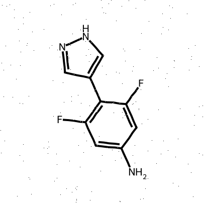 Nc1cc(F)c(-c2cn[nH]c2)c(F)c1